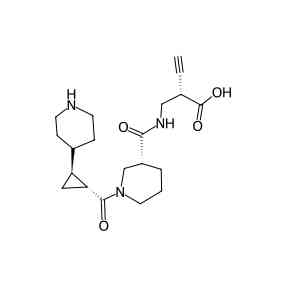 C#C[C@@H](CNC(=O)[C@@H]1CCCN(C(=O)[C@@H]2C[C@H]2C2CCNCC2)C1)C(=O)O